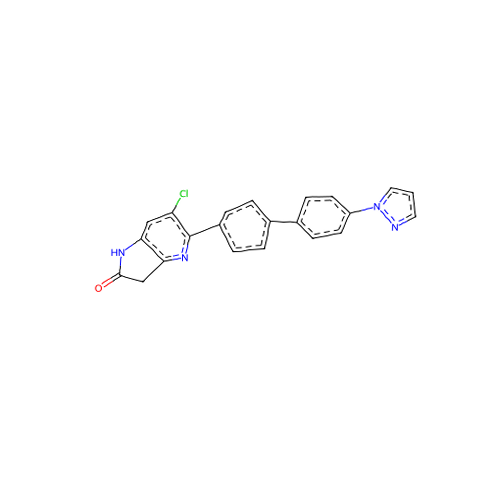 O=C1Cc2nc(-c3ccc(-c4ccc(-n5cccn5)cc4)cc3)c(Cl)cc2N1